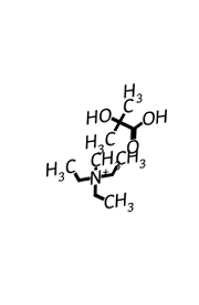 CC(C)(O)C(=O)O.CC[N+](C)(CC)CC